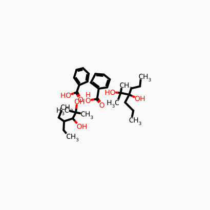 CCC(CC)C(O)C(C)(C)O.CCCC(O)(CCC)C(C)(C)O.O=C(O)c1ccccc1.O=C(O)c1ccccc1